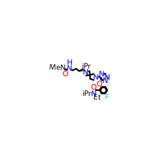 CCN(C(=O)c1cc(F)ccc1Oc1nncnc1N1CCC2(C1)CN([C@H](CCCNC(=O)NC)C(C)C)C2)C(C)C